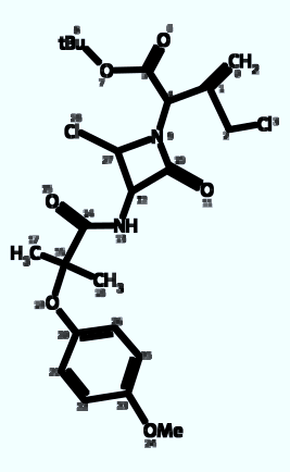 C=C(CCl)C(C(=O)OC(C)(C)C)N1C(=O)C(NC(=O)C(C)(C)Oc2ccc(OC)cc2)C1Cl